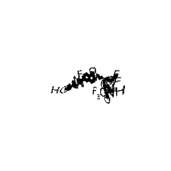 CC(C)(O)c1cnc(-c2cc3ccn(CCC[C@H](COC(F)F)Oc4cn[nH]c(=O)c4C(F)(F)F)c(=O)c3cc2F)nc1